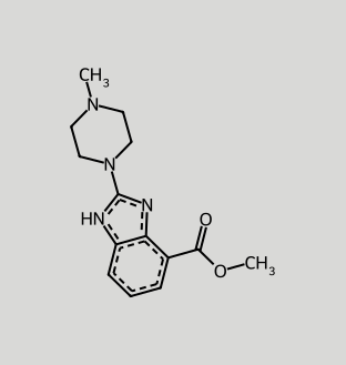 COC(=O)c1cccc2[nH]c(N3CCN(C)CC3)nc12